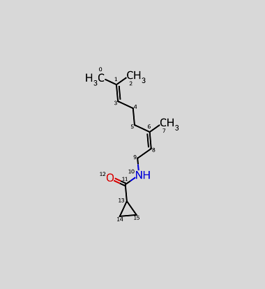 CC(C)=CCCC(C)=CCNC(=O)C1CC1